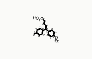 CCOc1ccc(C(=CC=CC(=O)O)c2ccc(C)cc2)cc1